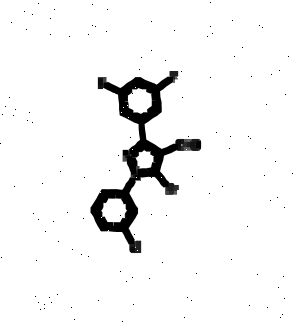 O=Cc1c(-c2cc(F)cc(F)c2)nn(-c2cccc(Cl)c2)c1Br